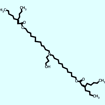 CCCCCC(=CC(=O)OCCCCCCCCCCCN(CCCO)CCCCCCCCCCCOC(=O)/C=C(\CCCC)CCCCC)CCCC